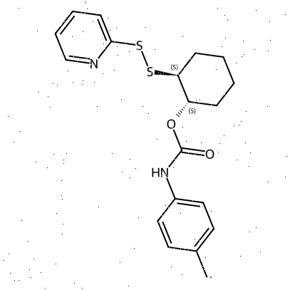 [CH2]c1ccc(NC(=O)O[C@H]2CCCC[C@@H]2SSc2ccccn2)cc1